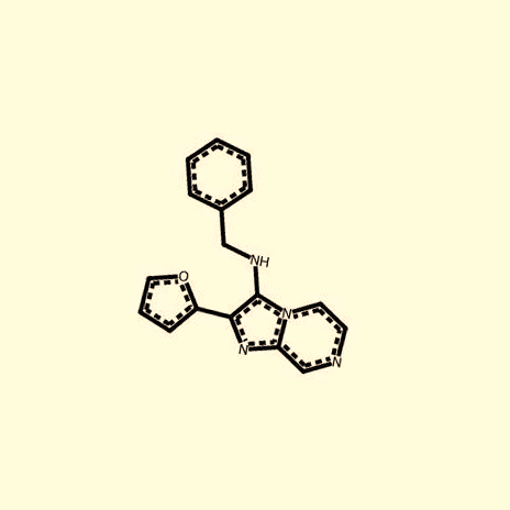 c1ccc(CNc2c(-c3ccco3)nc3cnccn23)cc1